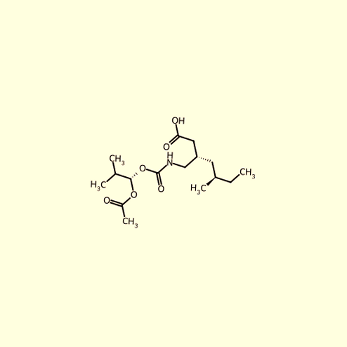 CC[C@@H](C)C[C@H](CNC(=O)O[C@H](OC(C)=O)C(C)C)CC(=O)O